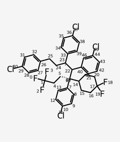 FC(F)(F)CC[C@@](c1ccc(Cl)cc1)(C1CCC(F)(F)CC1)C([C](CCc1ccc(Cl)cc1)c1ccc(Cl)cc1)c1cccc(Cl)c1